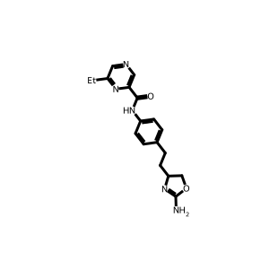 CCc1cncc(C(=O)Nc2ccc(CCC3COC(N)=N3)cc2)n1